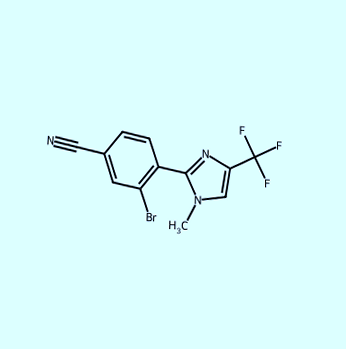 Cn1cc(C(F)(F)F)nc1-c1ccc(C#N)cc1Br